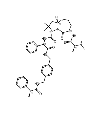 CN[C@@H](C)C(=S)N[C@H]1CCS[C@H]2CC(C)(C)[C@@H](C(=O)N[C@@H](C(=O)NCc3ccc(CNC(=O)[C@@H](C)c4ccccc4)cc3)c3ccccc3)N2C1=O